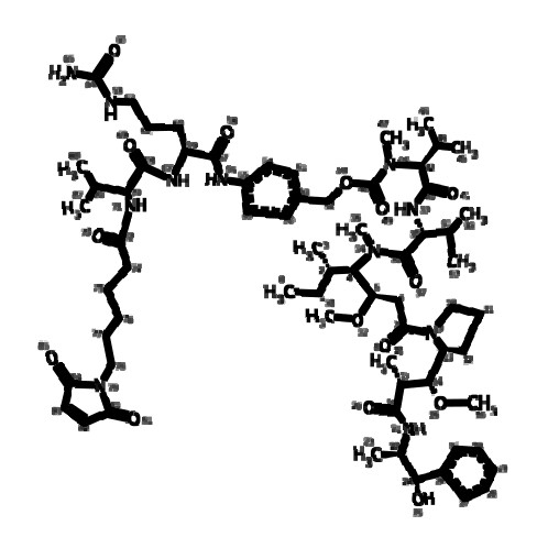 CC[C@H](C)C([C@@H](CC(=O)N1CCC[C@H]1[C@H](OC)[C@@H](C)C(=O)N[C@H](C)[C@@H](O)c1ccccc1)OC)N(C)C(=O)[C@H](NC(=O)[C@H](C(C)C)N(C)C(=O)OCc1ccc(NC(=O)[C@H](CCCNC(N)=O)NC(=O)[C@@H](NC(=O)CCCCCN2C(=O)C=CC2=O)C(C)C)cc1)C(C)C